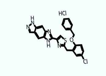 Cl.Clc1ccc(OCc2ccccc2)c(Cc2nc(-c3nc4cc5[nH]ncc5cc4[nH]3)cs2)c1